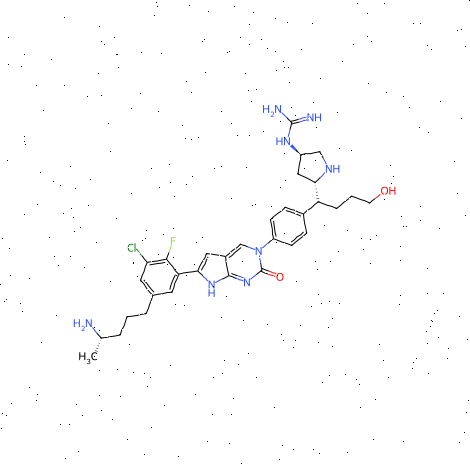 C[C@H](N)CCCc1cc(Cl)c(F)c(-c2cc3cn(-c4ccc(C(CCCO)[C@@H]5C[C@@H](NC(=N)N)CN5)cc4)c(=O)nc3[nH]2)c1